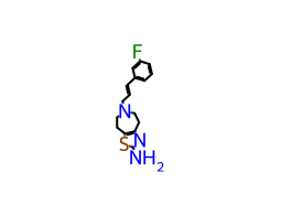 Nc1nc2c(s1)CCN(C/C=C/c1cccc(F)c1)CC2